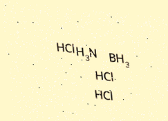 B.Cl.Cl.Cl.N